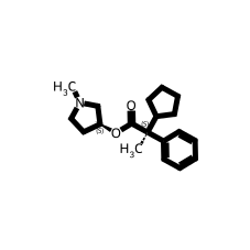 CN1CC[C@H](OC(=O)[C@](C)(c2ccccc2)C2CCCC2)C1